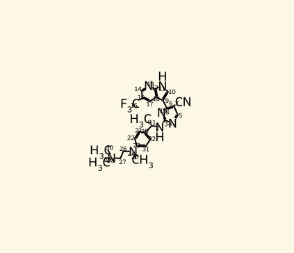 C[C@@H](Nc1ncc(C#N)c(-c2c[nH]c3ncc(C(F)(F)F)cc23)n1)c1ccc(N(C)CCN(C)C)cc1